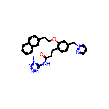 O=C(CCc1ccc(Cn2cccn2)cc1OCCc1ccc2ccccc2c1)Nc1nnn[nH]1